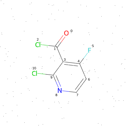 O=C(Cl)c1c(F)ccnc1Cl